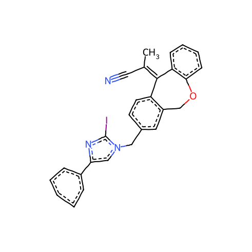 C/C(C#N)=C1/c2ccc(Cn3cc(-c4ccccc4)nc3I)cc2COc2ccccc21